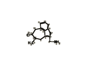 CN1Cc2c(CN)sc3cccc(c23)CC1Cl